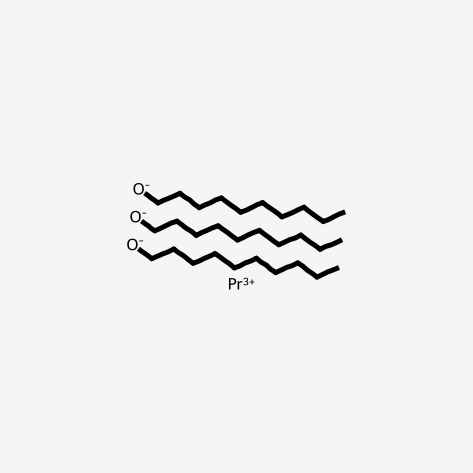 CCCCCCCCCC[O-].CCCCCCCCCC[O-].CCCCCCCCCC[O-].[Pr+3]